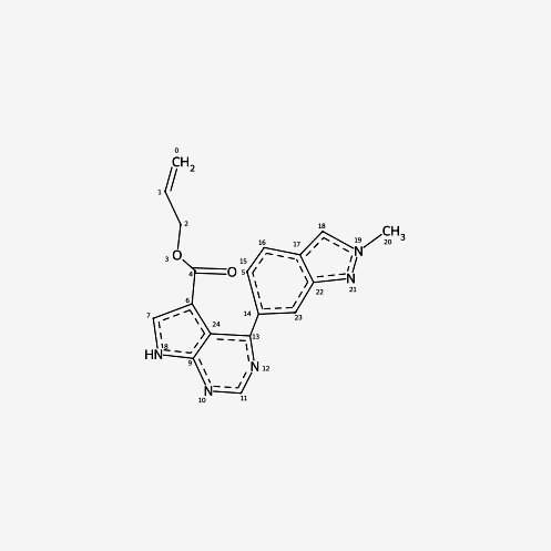 C=CCOC(=O)c1c[nH]c2ncnc(-c3ccc4cn(C)nc4c3)c12